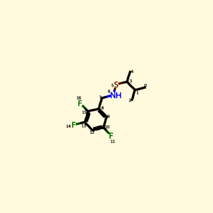 CC(C)C(C)SNCc1cc(F)cc(F)c1F